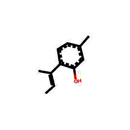 CC=C(C)c1ccc(C)cc1O